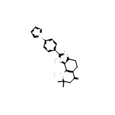 CC1(C)CC(=O)C2=C(N1)c1[nH]c(-c3ccc(-n4cccc4)cc3)nc1CC2